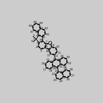 CC1(C)c2ccc3c(oc4ccc(-c5c6ccccc6c(-c6cccc7ccccc67)c6ccccc56)cc43)c2-c2ccc3ccccc3c21